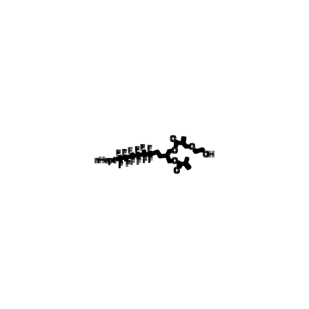 C=C(C)C(=O)OCC(CCC(F)(F)C(F)(F)C(F)(F)C(F)(F)C(F)(F)C(F)(F)CCCCCCC)COC(=O)C(=C)COCCO